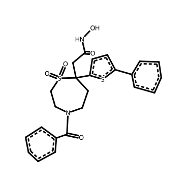 O=C(CC1(c2ccc(-c3ccccc3)s2)CCN(C(=O)c2ccccc2)CCS1(=O)=O)NO